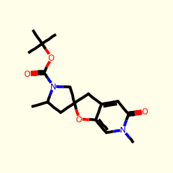 CC1CC2(Cc3cc(=O)n(C)cc3O2)CN1C(=O)OC(C)(C)C